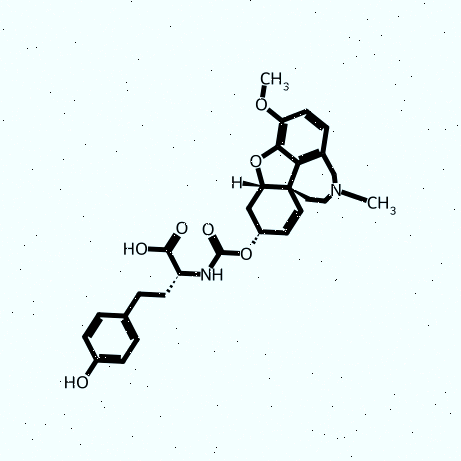 COc1ccc2c3c1O[C@H]1C[C@@H](OC(=O)N[C@H](CCc4ccc(O)cc4)C(=O)O)C=C[C@@]31CCN(C)C2